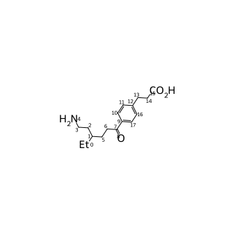 CCC(CCN)CCC(=O)c1ccc(CCC(=O)O)cc1